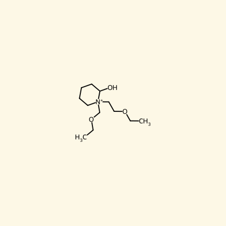 CCOCC[N+]1(COCC)CCCCC1O